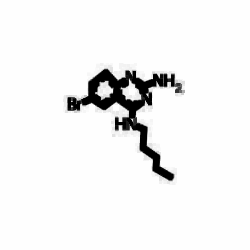 CCCCCNc1nc(N)nc2ccc(Br)cc12